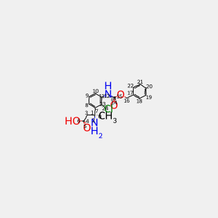 C[C@](N)(CC(=O)O)c1cccc(NC(=O)OCc2ccccc2)c1Cl